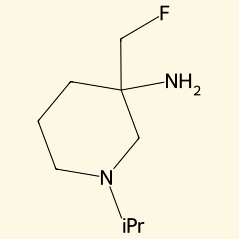 CC(C)N1CCCC(N)(CF)C1